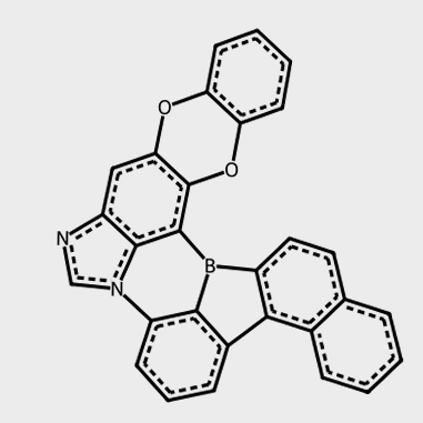 c1ccc2c(c1)Oc1cc3ncn4c3c(c1O2)B1c2ccc3ccccc3c2-c2cccc-4c21